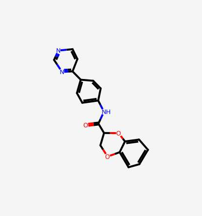 O=C(Nc1ccc(-c2ccncn2)cc1)C1COc2ccccc2O1